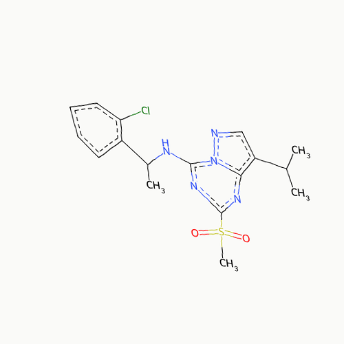 CC(C)c1cnn2c(NC(C)c3ccccc3Cl)nc(S(C)(=O)=O)nc12